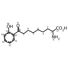 NC(CCCCCCC(=O)c1ccccc1O)C(=O)O